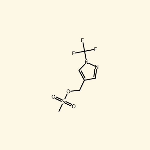 CS(=O)(=O)OCc1cnn(C(F)(F)F)c1